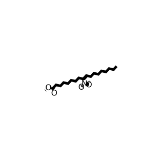 CCCCCCCCC=C(CCCCCCCC(=O)OC)[N+](=O)[O-]